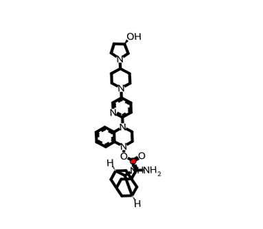 NC(=O)C12CC3C[C@H](C1)C(NC(=O)ON1CCN(c4ccc(N5CCC(N6CC[C@@H](O)C6)CC5)cn4)c4ccccc41)[C@@H](C3)C2